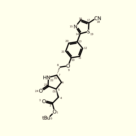 CC(C)(C)OC(=O)C[C@@H]1C[C@@H](COc2ccc(-c3ncc(C#N)s3)cc2)NC1=O